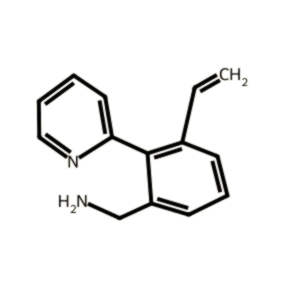 C=Cc1cccc(CN)c1-c1ccccn1